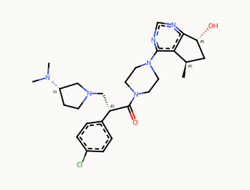 C[C@@H]1C[C@@H](O)c2ncnc(N3CCN(C(=O)[C@@H](CN4CC[C@H](N(C)C)C4)c4ccc(Cl)cc4)CC3)c21